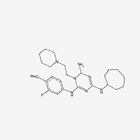 COc1ccc(NC2=NC(NC3CCCCCC3)=NC(N)N2CCN2CCCCC2)cc1F